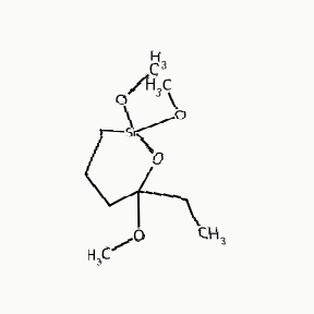 CCC1(OC)CCC[Si](OC)(OC)O1